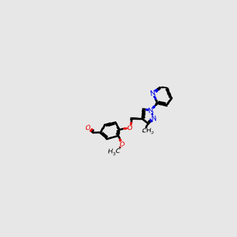 COc1cc(C=O)ccc1OCc1cn(-c2ccccn2)nc1C